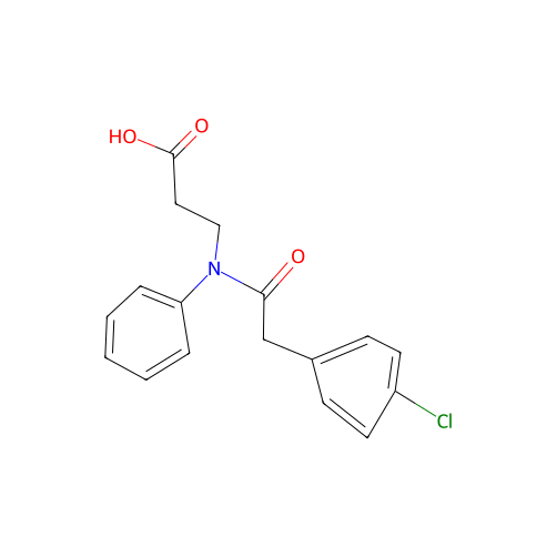 O=C(O)CCN(C(=O)Cc1ccc(Cl)cc1)c1ccccc1